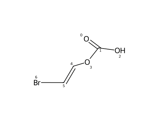 O=C(O)OC=CBr